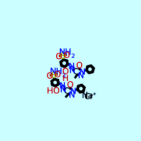 Cc1nn(-c2ccccc2)c(=O)[c-]1N=Nc1cc(S(N)(=O)=O)ccc1O.Cc1nn(-c2ccccc2)c(=O)[c-]1N=Nc1cc(S(N)(=O)=O)ccc1O.[Cr].[Na+]